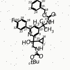 CC(C)(C)OC(=O)NCC(O)(c1cc(C(C)(C)NC(=O)OCc2ccccc2)cc(-c2ccc(F)cc2)n1)C1CC1